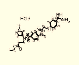 CCOC(=O)CCN(c1cnn(C)c1)S(=O)(=O)c1ccc2c(c1)nc(CNc1ccc(C(=N)N)cc1)n2C.Cl